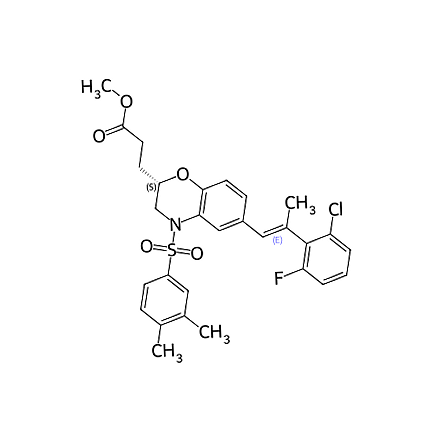 COC(=O)CC[C@H]1CN(S(=O)(=O)c2ccc(C)c(C)c2)c2cc(/C=C(\C)c3c(F)cccc3Cl)ccc2O1